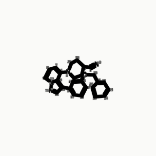 N#CC1CCN(c2cccn3ncc(-c4cccc(OCc5ccccc5)c4)c23)CC1